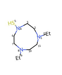 CCN1CCN(S)CCN(CC)CC1